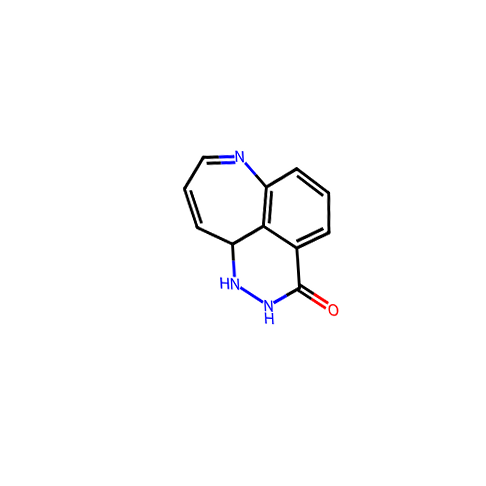 O=C1NNC2C=CC=Nc3cccc1c32